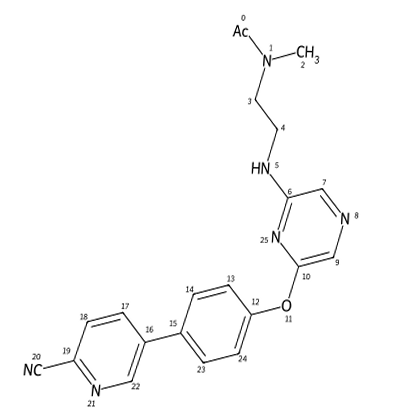 CC(=O)N(C)CCNc1cncc(Oc2ccc(-c3ccc(C#N)nc3)cc2)n1